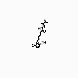 C/C(=N\NC(=O)CCCCCN1C(=O)C=CC1O)C(C)C